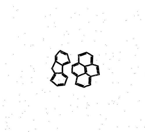 [CH]1c2ccccc2-c2ccccc21.[c]1ccc2ccc3cccc4ccc1c2c43